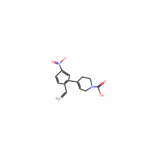 C=Cc1ccc([N+](=O)[O-])cc1C1=CCN(C(=O)O)CC1